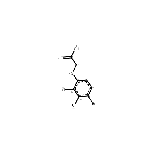 O=C(O)CSc1ccc(Br)c(Cl)c1Cl